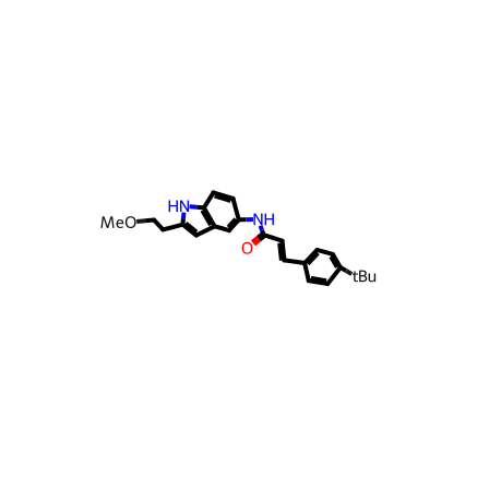 COCCc1cc2cc(NC(=O)/C=C/c3ccc(C(C)(C)C)cc3)ccc2[nH]1